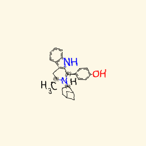 C[C@@H]1Cc2c([nH]c3ccccc23)[C@@H](c2ccc(O)cc2)N1[C@@H]1CCC2CC1C2